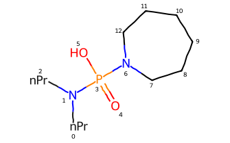 CCCN(CCC)P(=O)(O)N1CCCCCC1